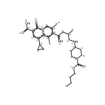 CCCCOC(=O)N1CCC(NCC(C)CC(=N)c2c(F)cn3c(=O)c(C(=O)O)cc(C4CC4)c3c2C)CC1